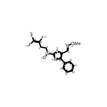 CON=Cc1sc([S+]([O-])CCC(F)=C(F)F)nc1-c1ccccc1